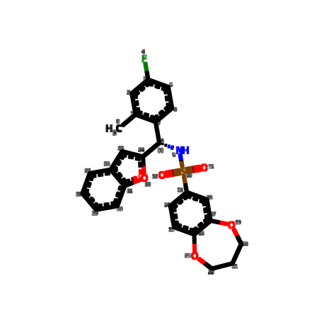 Cc1cc(F)ccc1[C@H](NS(=O)(=O)c1ccc2c(c1)OCCCO2)c1cc2ccccc2o1